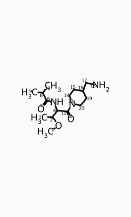 COC(C)C(NC(=O)C(C)C)C(=O)N1CCC(CN)CC1